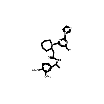 COc1ccc(C(C)NC(=O)CC2CCCCCN2c2cc(C(C)C)nc(-n3ccnc3)n2)cc1OC